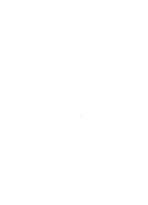 CC(=O)Oc1cc(=O)n(-c2ccccc2)c2ccc(F)cc12